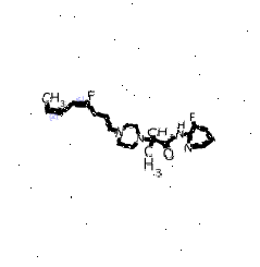 C/C=C\C=C(\F)CCCN1CCN(C(C)(C)C(=O)Nc2ncccc2F)CC1